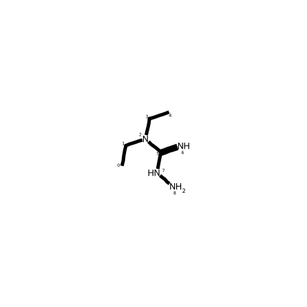 CCN(CC)C(=N)NN